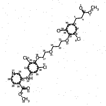 COC(=O)CCc1cc(Cl)c(OCCCOCCOc2c(Cl)cc(Nc3cnccc3C(=O)OC)cc2Cl)c(Cl)c1